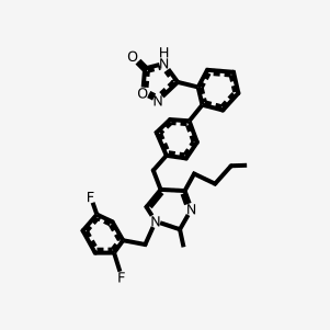 CCCCC1=NC(C)N(Cc2cc(F)ccc2F)C=C1Cc1ccc(-c2ccccc2-c2noc(=O)[nH]2)cc1